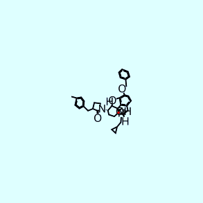 Cc1ccc(CC2CCN([C@H]3CC[C@@]4(O)[C@H]5Cc6ccc(OCc7ccccc7)c7c6[C@@]4(CCN5CC4CC4)[C@H]3O7)C2=O)cc1